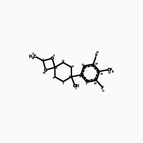 CC1OC2(CCC(O)(c3cc(F)c(C(F)(F)F)c(F)c3)CC2)O1